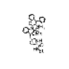 CCNC(=O)[C@@H]1CO[C@H](CCc2ccccc2N(C(=O)OC)C(=O)[C@@H](N)C(c2ccccc2)c2ccccc2)CN1